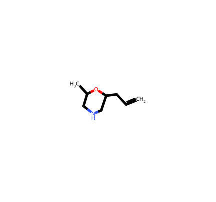 C=CCC1CNCC(C)O1